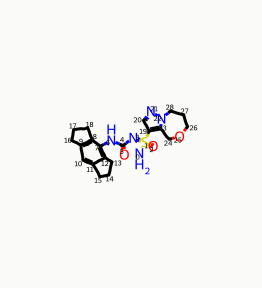 NS(=O)(=NC(=O)Nc1c2c(cc3c1CCC3)CCC2)c1cnn2c1COCCC2